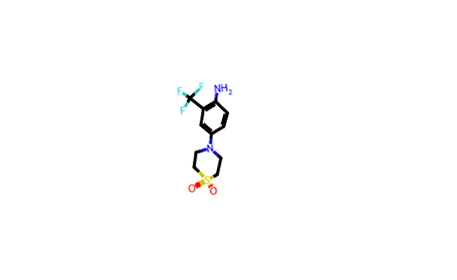 Nc1ccc(N2CCS(=O)(=O)CC2)cc1C(F)(F)F